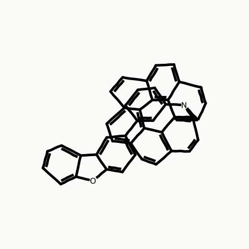 c1cc(-c2ccc3oc4ccccc4c3c2)cc(-n2c3ccc4ccc5ccc6ccc7ccc8ccc2c2c8c7c6c5c4c23)c1